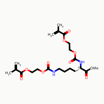 C=C(C)C(=O)OCCOC(=O)NCCCC[C@H](NC(=O)OCCOC(=O)C(=C)C)C(=O)OC